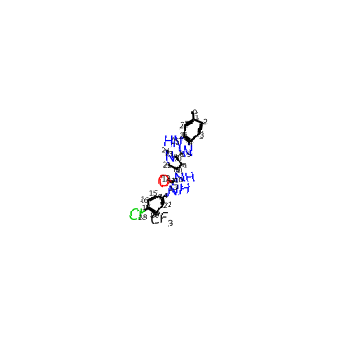 Cc1ccc2nc([C@@H]3C[C@H](NC(=O)Nc4ccc(Cl)c(C(F)(F)F)c4)CN3C)[nH]c2c1